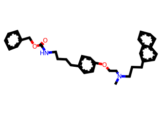 CN(CCCc1ccc2ccccc2c1)CCOc1ccc(CCCCNC(=O)OCc2ccccc2)cc1